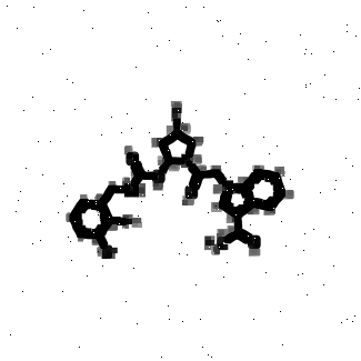 O=C(NCc1cccc(Br)c1F)O[C@H]1C[C@@H](F)CN1C(=O)Cn1cc(C(=O)C(F)(F)F)c2ccccc21